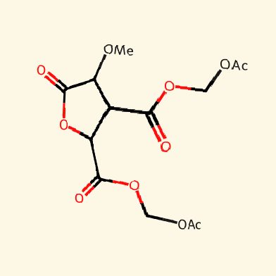 COC1C(=O)OC(C(=O)OCOC(C)=O)C1C(=O)OCOC(C)=O